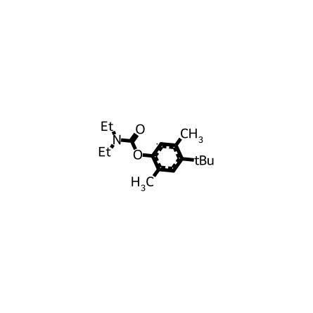 CCN(CC)C(=O)Oc1[c]c(C)c(C(C)(C)C)cc1C